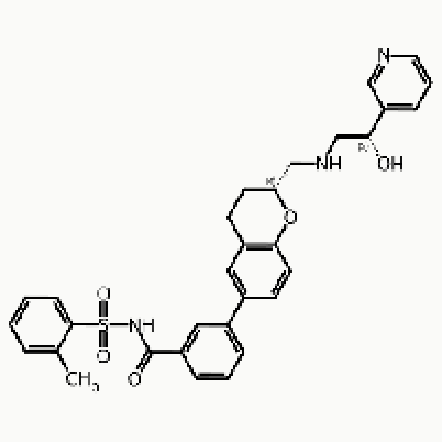 Cc1ccccc1S(=O)(=O)NC(=O)c1cccc(-c2ccc3c(c2)CC[C@H](CNC[C@@H](O)c2cccnc2)O3)c1